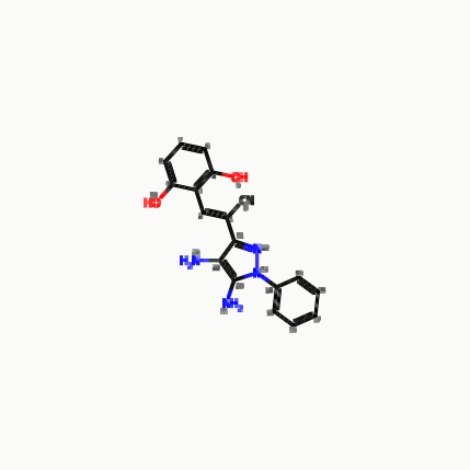 N#C/C(=C\c1c(O)cccc1O)c1nn(-c2ccccc2)c(N)c1N